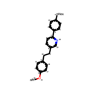 CCCCCCc1ccc(-c2ccc(CCc3ccc(OCCC)cc3)cn2)cc1